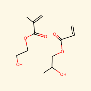 C=C(C)C(=O)OCCO.C=CC(=O)OCC(C)O